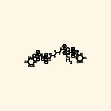 CC(OS(=O)(=O)CCCCCCS(=O)(=O)OCS(=O)(=O)OC1CCCCC1)S(=O)(=O)OC1CCCCC1